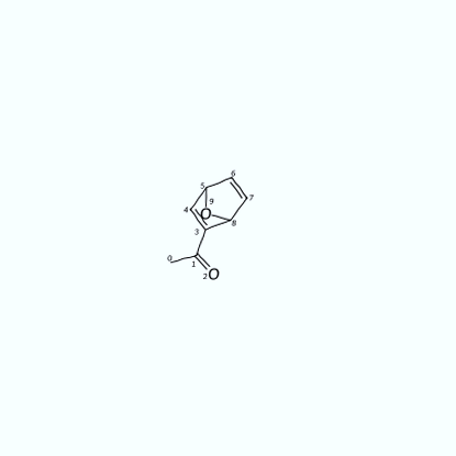 CC(=O)C1=CC2C=CC1O2